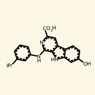 CC(C)c1cccc(Nc2nc(C(=O)O)cc3c2[nH]c2cc(O)ccc23)c1